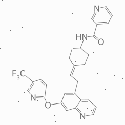 O=C(NC1CCC(=CCc2cc(Oc3ccc(C(F)(F)F)cn3)cc3ncccc23)CC1)c1cccnc1